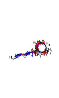 CO[C@H]1C[C@@H]2CC[C@@H](C)[C@@](O)(O2)C(=O)C(=O)N2CCCC[C@H]2C(=O)O[C@H]([C@H](C)C[C@@H]2CC[C@@H](OC(=O)NCc3cnc(N4CCN(C(=O)CCOCCN5CCN(c6ncc(C)cn6)CC5)CC4)nc3)[C@H](OC)C2)C[C@@H](O)[C@H](C)/C=C(\C)[C@@H](O)[C@@H](O)C(=O)[C@H](C)C[C@H](C)/C=C/C=C/C=C/1C